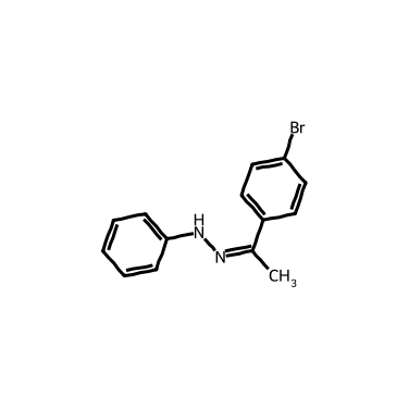 CC(=NNc1ccccc1)c1ccc(Br)cc1